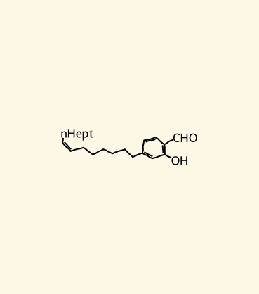 CCCCCCC/C=C\CCCCCCc1ccc(C=O)c(O)c1